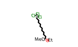 CCOC(CCCCCCCCCC[Si](Cl)(Cl)Cl)OC